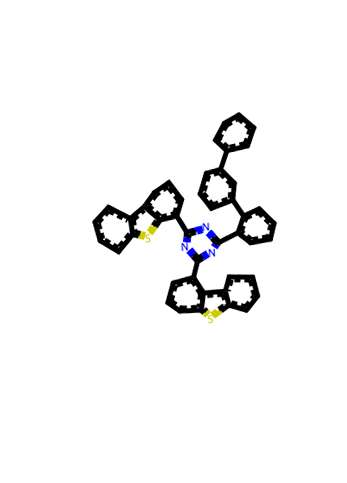 c1ccc(-c2cccc(-c3ccccc3-c3nc(-c4cccc5c4sc4ccccc45)nc(-c4cccc5sc6ccccc6c45)n3)c2)cc1